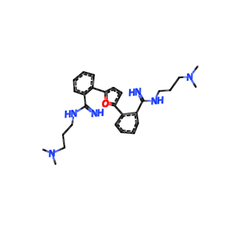 CN(C)CCCNC(=N)c1ccccc1-c1ccc(-c2ccccc2C(=N)NCCCN(C)C)o1